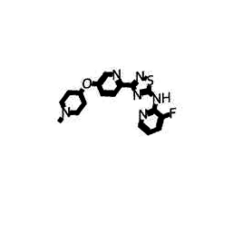 CN1CCC(Oc2ccc(-c3nsc(Nc4ncccc4F)n3)nc2)CC1